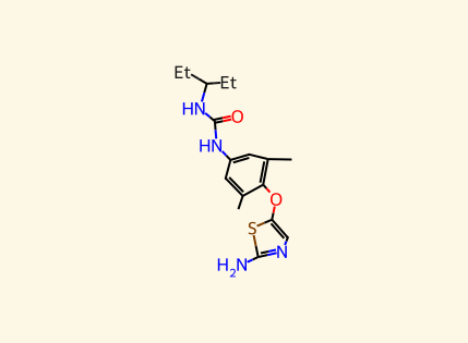 CCC(CC)NC(=O)Nc1cc(C)c(Oc2cnc(N)s2)c(C)c1